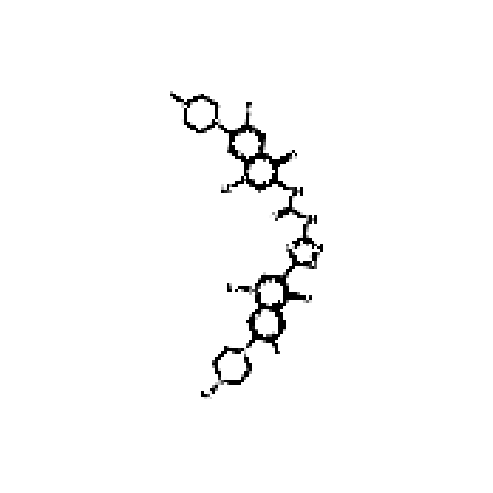 CCn1cc(NC(=O)Nc2nnc(-c3cn(CC)c4cc(N5CCN(C(C)=O)CC5)c(F)cc4c3=O)o2)c(=O)c2cc(F)c(N3CCN(C)CC3)cc21